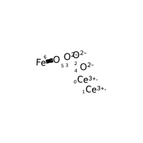 [Ce+3].[Ce+3].[O-2].[O-2].[O-2].[O]=[Fe]